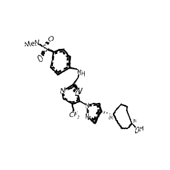 CNS(=O)(=O)c1ccc(Nc2ncc(C(F)(F)F)c(-n3cc([C@@H]4CC[C@@H](O)C4)cn3)n2)cc1